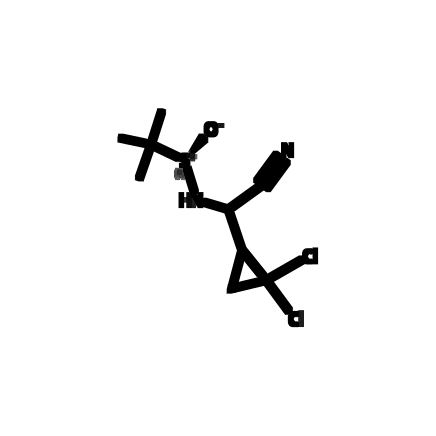 CC(C)(C)[S@@+]([O-])NC(C#N)C1CC1(Cl)Cl